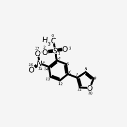 CS(=O)(=O)c1cc(-c2ccoc2)ccc1[N+](=O)[O-]